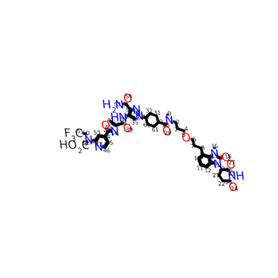 CN(CCCOCCCc1cccc2c1n(C)c(=O)n2C1CCC(=O)NC1=O)C(=O)C1CCC(n2cc(NC(=O)c3coc(-c4ccnc(N(CC(F)(F)F)C(=O)O)c4)n3)c(C(N)=O)n2)CC1